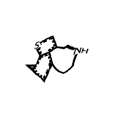 c1cc2c3c(csc3c1)CNCC2